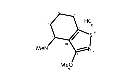 CNC1CCCc2snc(OC)c21.Cl